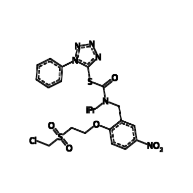 CC(C)N(Cc1cc([N+](=O)[O-])ccc1OCCS(=O)(=O)CCl)C(=O)Sc1nnnn1-c1ccccc1